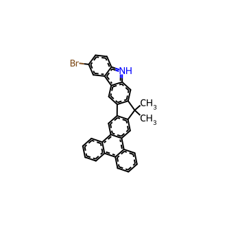 CC1(C)c2cc3[nH]c4ccc(Br)cc4c3cc2-c2cc3c4ccccc4c4ccccc4c3cc21